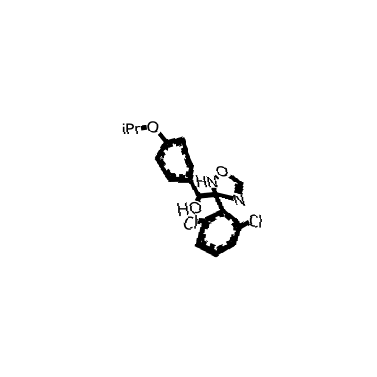 CC(C)Oc1ccc(C(O)C2(c3c(Cl)cccc3Cl)N=CON2)cc1